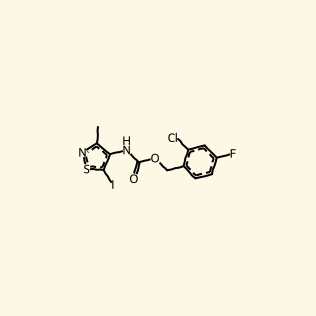 Cc1nsc(I)c1NC(=O)OCc1ccc(F)cc1Cl